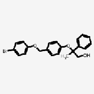 CC(CO)(Oc1ccc(COc2ccc(Br)cc2)cc1)c1ccccc1